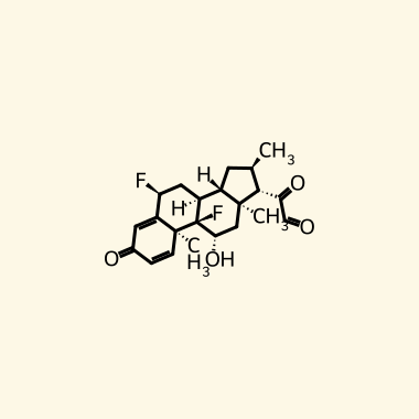 C[C@@H]1C[C@H]2[C@@H]3C[C@H](F)C4=CC(=O)C=C[C@]4(C)[C@@]3(F)[C@@H](O)C[C@]2(C)[C@H]1C(=O)C=O